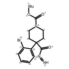 CC(C)(C)OC(=O)N1CCC(C(=O)N=N)(c2ccccc2Br)CC1